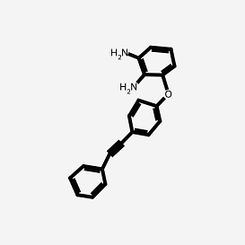 Nc1cccc(Oc2ccc(C#Cc3ccccc3)cc2)c1N